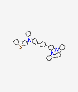 c1ccc(N(c2ccc(-c3ccc(-c4ccc5c(c4)n4c6ccccc6c6ccc7c8ccccc8n5c7c64)cc3)cc2)c2ccc3sc4ccccc4c3c2)cc1